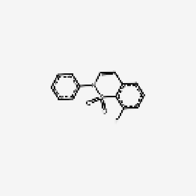 O=S1(=O)c2c(F)cccc2C=CN1c1ccccc1